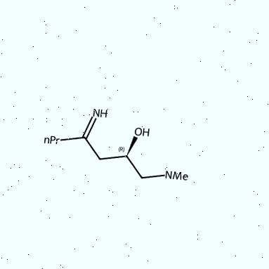 CCCC(=N)C[C@@H](O)CNC